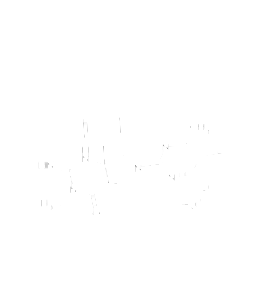 COc1nc(N2CC3C(=O)N(C)C(=N)NC3(c3ccccc3)C2)nc(C)c1F